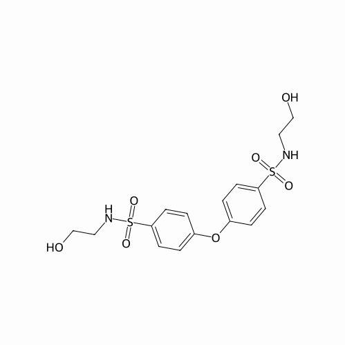 O=S(=O)(NCCO)c1ccc(Oc2ccc(S(=O)(=O)NCCO)cc2)cc1